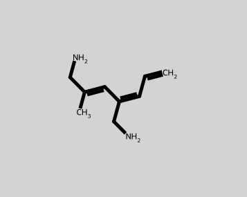 C=C/C=C(\C=C(/C)CN)CN